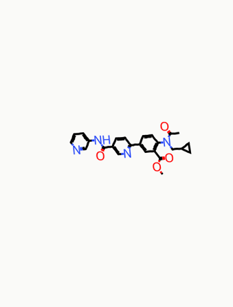 COC(=O)c1cc(-c2ccc(C(=O)Nc3cccnc3)cn2)ccc1N(CC1CC1)C(C)=O